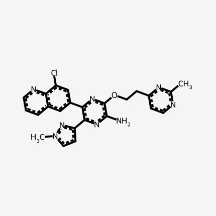 Cc1nccc(CCOc2nc(-c3cc(Cl)c4ncccc4c3)c(-c3ccn(C)n3)nc2N)n1